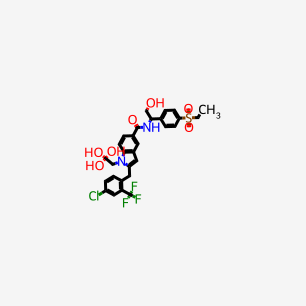 CCS(=O)(=O)c1ccc(C(CO)NC(=O)c2ccc3c(c2)cc(Cc2ccc(Cl)cc2C(F)(F)F)n3CC(O)(O)O)cc1